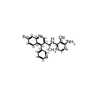 C[C@@H](Nc1ncnc(N)c1C#N)c1cnc2cc(F)ccc2c1-c1cccnc1